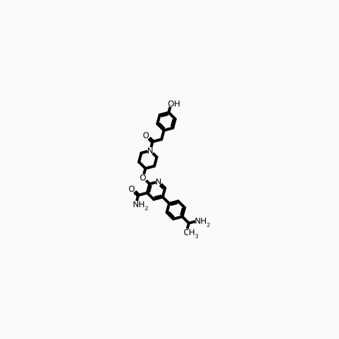 CC(N)c1ccc(-c2cnc(OC3CCN(C(=O)Cc4ccc(O)cc4)CC3)c(C(N)=O)c2)cc1